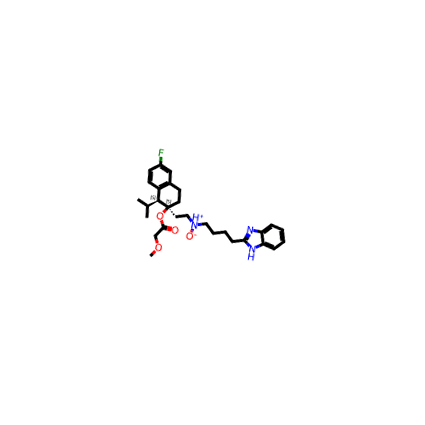 COCC(=O)O[C@]1(CC[NH+]([O-])CCCCc2nc3ccccc3[nH]2)CCc2cc(F)ccc2[C@@H]1C(C)C